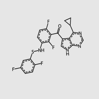 O=C(c1c(F)ccc(NSc2cc(F)ccc2F)c1F)c1c[nH]c2ncnc(C3CC3)c12